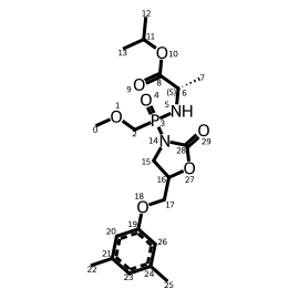 COCP(=O)(N[C@@H](C)C(=O)OC(C)C)N1CC(COc2cc(C)cc(C)c2)OC1=O